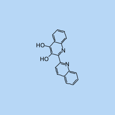 Oc1c(-c2ccc3ccccc3n2)nc2ccccc2c1O